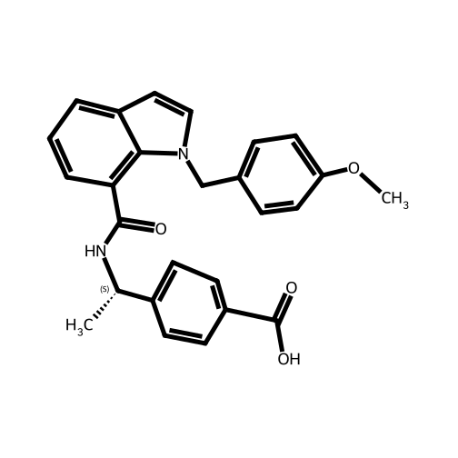 COc1ccc(Cn2ccc3cccc(C(=O)N[C@@H](C)c4ccc(C(=O)O)cc4)c32)cc1